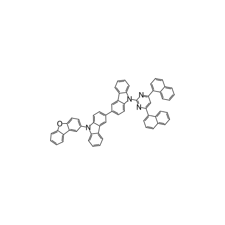 c1ccc2c(-c3cc(-c4cccc5ccccc45)nc(-n4c5ccccc5c5cc(-c6ccc7c(c6)c6ccccc6n7-c6ccc7oc8ccccc8c7c6)ccc54)n3)cccc2c1